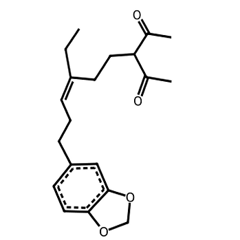 CCC(=CCCc1ccc2c(c1)OCO2)CCC(C(C)=O)C(C)=O